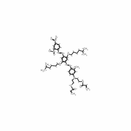 C=CC(=O)OCCN(CCOC(=O)C=C)c1ccc(/N=N/c2cc(OCCCCC(C)C)c(/N=N/c3ccc([N+](=O)[O-])cc3[N+](=O)[O-])cc2OCCCCC(C)C)c(C)c1